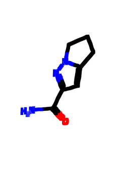 NC(=O)c1cc2n(n1)CCC2